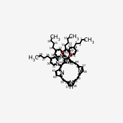 CCCCc1cc[n+](-c2c(-[n+]3ccc(CCCC)cc3)c3c(-[n+]4ccc(CCCC)cc4)c4nc(cc5ccc(cc6nc(cc2n3-[n+]2ccc(CCCC)cc2)C=C6)[nH]5)C=C4)cc1